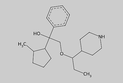 CCC(OCC(O)(c1ccccc1)C1CCCC1C)C1CCNCC1